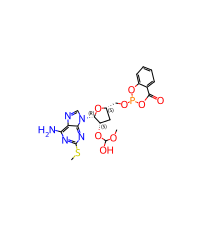 COC(O)O[C@H]1C[C@@H](COP2OC(=O)c3ccccc3O2)O[C@H]1n1cnc2c(N)nc(SC)nc21